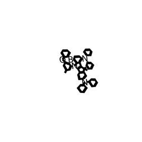 Cc1cc2c3c(c1)-n1c4c(c5c(N(c6ccccc6)c6ccccc6)ccc(c51)B3c1ccccc1O2)C(C)(C)c1cc(N(c2ccccc2)c2ccccc2)ccc1-4